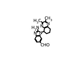 Cc1nc2c(nc1C)C(n1c(N)nc3ccc(C=O)cc31)CCC2